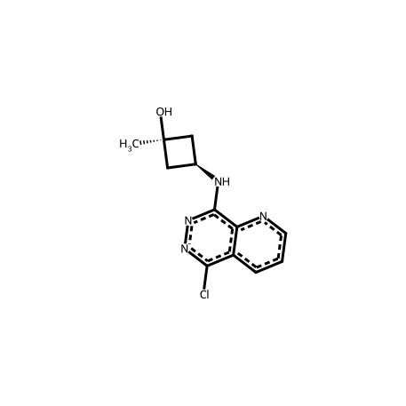 C[C@]1(O)C[C@@H](Nc2nnc(Cl)c3cccnc23)C1